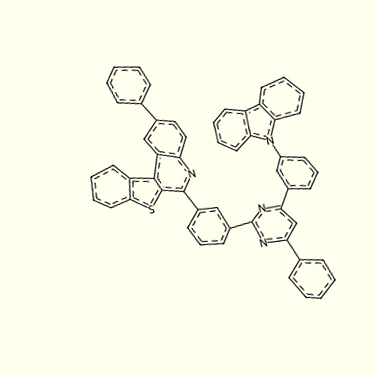 c1ccc(-c2ccc3nc(-c4cccc(-c5nc(-c6ccccc6)cc(-c6cccc(-n7c8ccccc8c8ccccc87)c6)n5)c4)c4sc5ccccc5c4c3c2)cc1